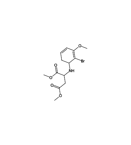 COC(=O)CC(NC1CC=CC(OC)=C1Br)C(=O)OC